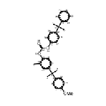 COc1ccc(C(C)(C)c2ccc(OC(=O)Oc3ccc(C(C)(C)c4ccccc4)cc3)c(C)c2)cc1